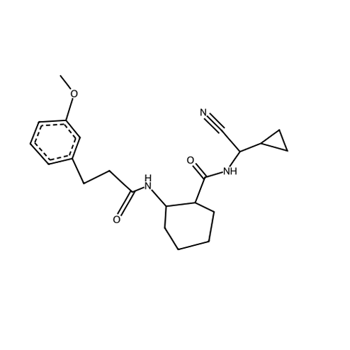 COc1cccc(CCC(=O)NC2CCCCC2C(=O)NC(C#N)C2CC2)c1